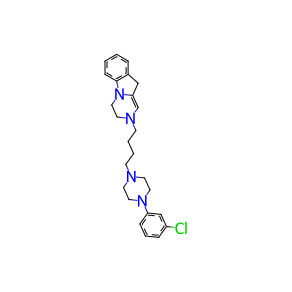 Clc1cccc(N2CCN(CCCCN3C=C4Cc5ccccc5N4CC3)CC2)c1